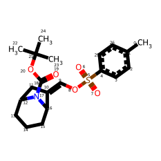 Cc1ccc(S(=O)(=O)OC=C2CC3CCCC2N3C(=O)OC(C)(C)C)cc1